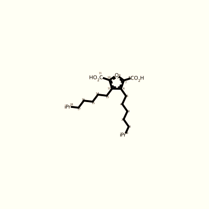 CC(C)CCCCCc1c(C(=O)O)oc(C(=O)O)c1CCCCCC(C)C